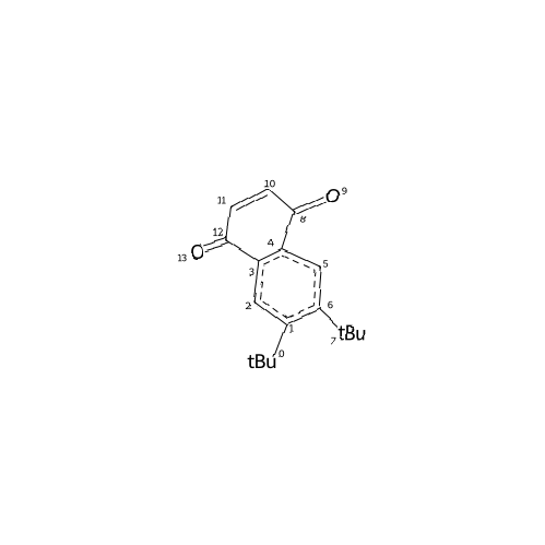 CC(C)(C)c1cc2c(cc1C(C)(C)C)C(=O)C=CC2=O